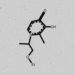 CCOCC(C)n1ccc(=O)c(O)c1C